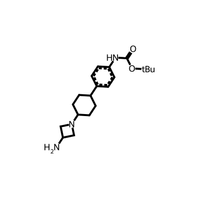 CC(C)(C)OC(=O)Nc1ccc(C2CCC(N3CC(N)C3)CC2)cc1